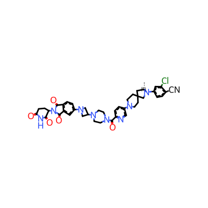 C[C@H]1CC2(CCN(c3ccc(C(=O)N4CCN(C5CN(c6ccc7c(c6)C(=O)N(C6CCC(=O)NC6=O)C7=O)C5)CC4)nc3)CC2)CN1c1ccc(C#N)c(Cl)c1